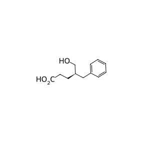 O=C(O)CC[C@@H](CO)Cc1ccccc1